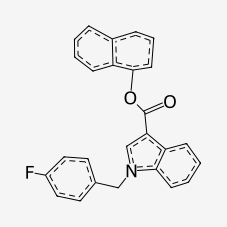 O=C(Oc1cccc2ccccc12)c1cn(Cc2ccc(F)cc2)c2ccccc12